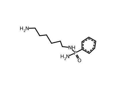 NCCCCCCNP(N)(=O)c1ccccc1